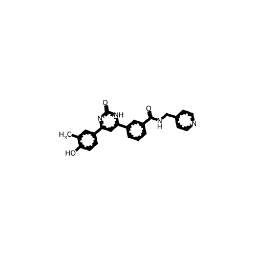 Cc1cc(-c2cc(-c3cccc(C(=O)NCc4ccncc4)c3)[nH]c(=O)n2)ccc1O